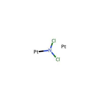 Cl[N](Cl)[Pt].[Pt]